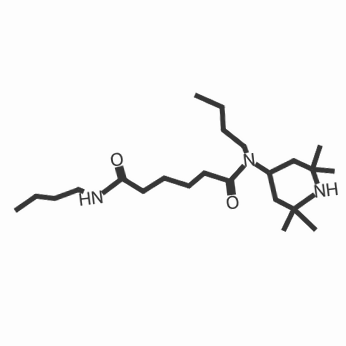 CCCCNC(=O)CCCCC(=O)N(CCCC)C1CC(C)(C)NC(C)(C)C1